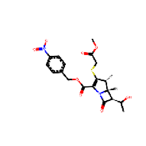 COC(=O)CSC1=C(C(=O)OCc2ccc([N+](=O)[O-])cc2)N2C(=O)[C@H](C(C)O)[C@H]2[C@H]1C